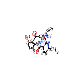 CCc1ccc(Br)c(C(=O)OC)c1NC(=O)c1ccc(C)nc1C(=O)NCC(C)C